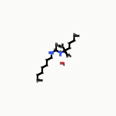 Br.CCCCCCCCCCCCCCCCNC(CC)NC(C)(C)CCCCCCCCCCCCC